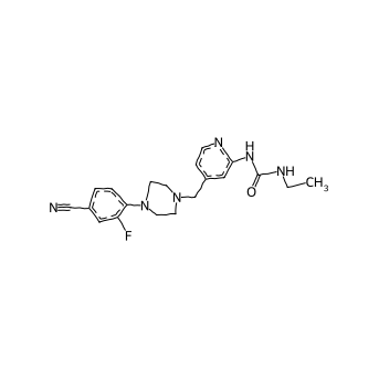 CCNC(=O)Nc1cc(CN2CCN(c3ccc(C#N)cc3F)CC2)ccn1